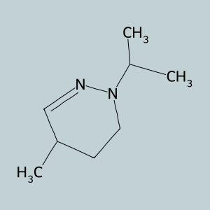 CC1C=NN(C(C)C)CC1